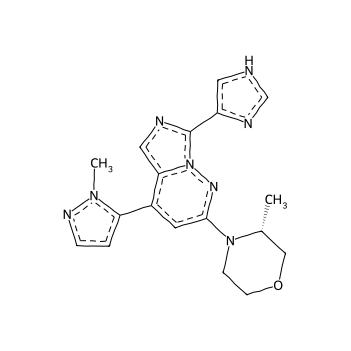 C[C@@H]1COCCN1c1cc(-c2ccnn2C)c2cnc(-c3c[nH]cn3)n2n1